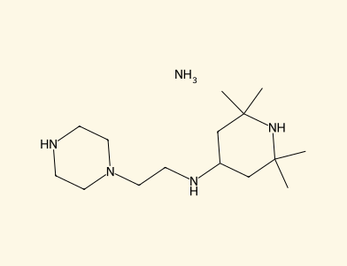 CC1(C)CC(NCCN2CCNCC2)CC(C)(C)N1.N